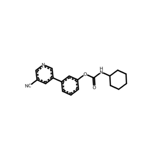 N#Cc1cncc(-c2cccc(OC(=O)NC3CCCCC3)c2)c1